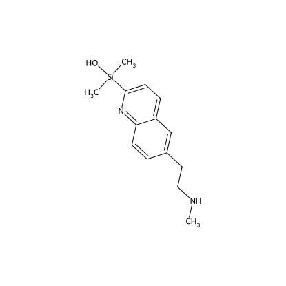 CNCCc1ccc2nc([Si](C)(C)O)ccc2c1